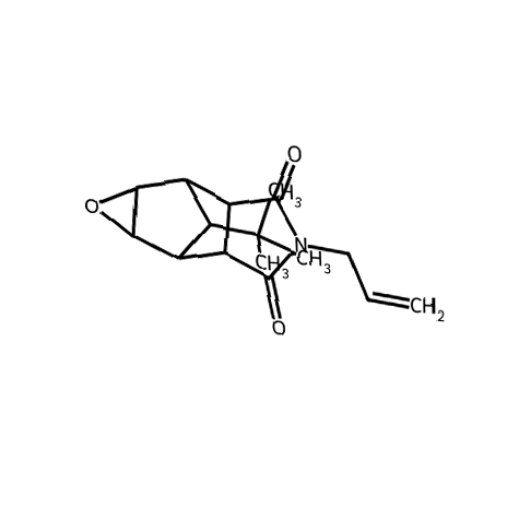 C=CCN1C(=O)C2C(C1=O)C1C3OC3C2C1C(C)(C)C